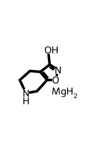 Oc1noc2c1CCNC2.[MgH2]